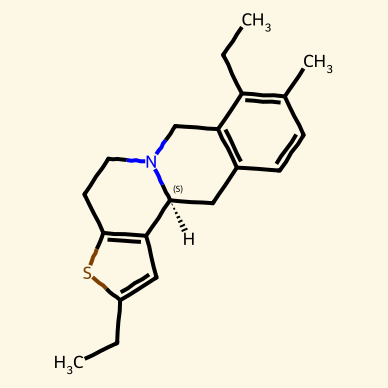 CCc1cc2c(s1)CCN1Cc3c(ccc(C)c3CC)C[C@@H]21